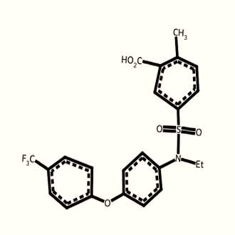 CCN(c1ccc(Oc2ccc(C(F)(F)F)cc2)cc1)S(=O)(=O)c1ccc(C)c(C(=O)O)c1